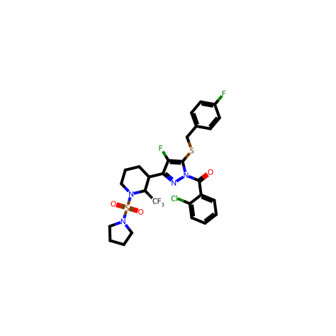 O=C(c1ccccc1Cl)n1nc(C2CCCN(S(=O)(=O)N3CCCC3)C2C(F)(F)F)c(F)c1SCc1ccc(F)cc1